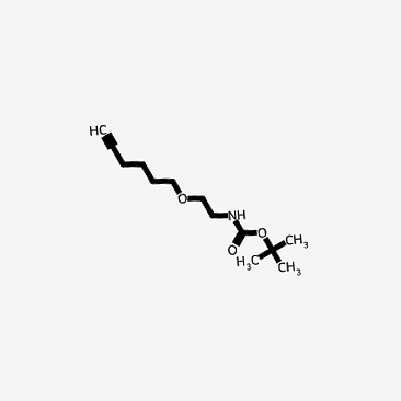 C#CCCCCOCCNC(=O)OC(C)(C)C